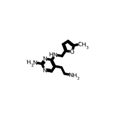 Cc1ccc(CNc2nc(N)ncc2CCN)o1